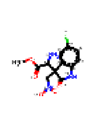 COC(=O)C(N)C1(C[N+](=O)[O-])C(=O)Nc2ccc(Cl)cc21